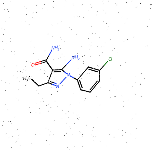 CCc1nn(-c2cccc(Cl)c2)c(N)c1C(N)=O